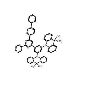 CC1(C)c2ccccc2N(c2cc(-c3cc(-c4ccc(-c5ccccc5)cc4)nc(-c4ccccc4)n3)cc(N3c4ccccc4C(C)(C)c4ccccc43)c2)c2ccccc21